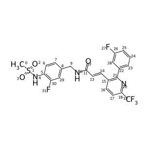 CS(=O)(=O)Nc1ccc(CNC(=O)/C=C/c2ccc(C(F)(F)F)nc2-c2cccc(F)c2)cc1F